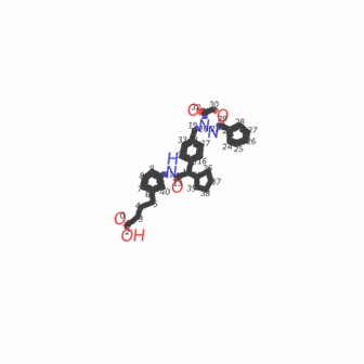 O=C(O)CCCc1cccc(NC(=O)C(c2ccc(CN3N=C(c4ccccc4)OCC3=O)cc2)C2CCCC2)c1